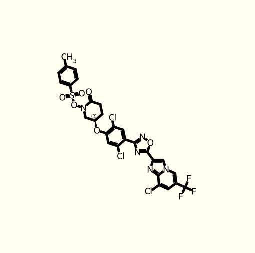 Cc1ccc(S(=O)(=O)ON2C[C@H](Oc3cc(Cl)c(-c4noc(-c5cn6cc(C(F)(F)F)cc(Cl)c6n5)n4)cc3Cl)CCC2=O)cc1